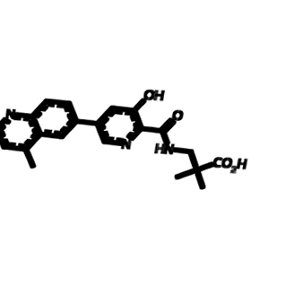 Cc1ccnc2ccc(-c3cnc(C(=O)NCC(C)(C)C(=O)O)c(O)c3)cc12